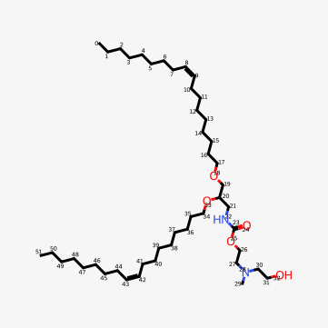 CCCCCCCC/C=C\CCCCCCCCOCC(CNC(=O)OCCN(C)CCO)OCCCCCCCC/C=C\CCCCCCCC